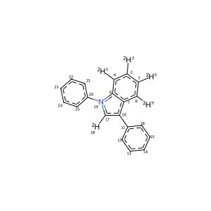 [2H]c1c([2H])c([2H])c2c(c1[2H])c(-c1ccccc1)c([2H])n2-c1ccccc1